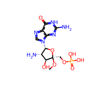 CO[C@]1(COP(=O)(O)O)O[C@@H](n2cnc3c(=O)[nH]c(N)nc32)[C@@H](N)[C@@H]1O